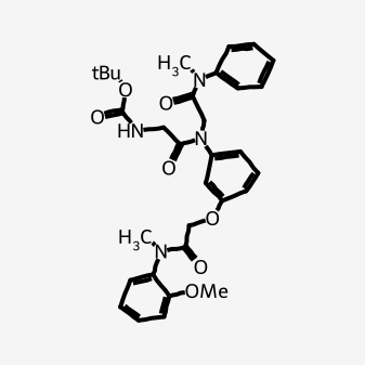 COc1ccccc1N(C)C(=O)COc1cccc(N(CC(=O)N(C)c2ccccc2)C(=O)CNC(=O)OC(C)(C)C)c1